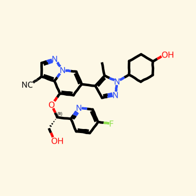 Cc1c(-c2cc(O[C@@H](CO)c3ccc(F)cn3)c3c(C#N)cnn3c2)cnn1C1CCC(O)CC1